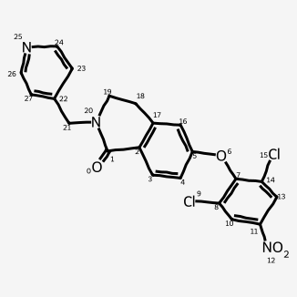 O=C1c2ccc(Oc3c(Cl)cc([N+](=O)[O-])cc3Cl)cc2CCN1Cc1ccncc1